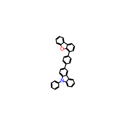 c1ccc(-n2c3ccccc3c3cc(-c4ccc(-c5cccc6c5oc5ccccc56)cc4)ccc32)cc1